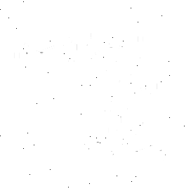 C=CP(=O)(O)O.C=CP(=O)(O)O.C=CP(=O)(O)O.C=CP(=O)(O)O.C=CP(=O)(O)O.NCCNCCN